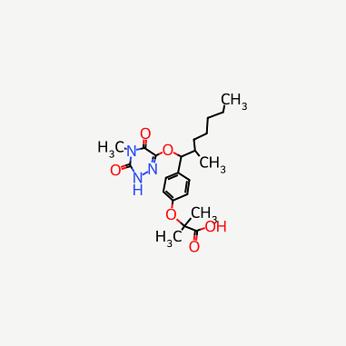 CCCCCC(C)C(Oc1n[nH]c(=O)n(C)c1=O)c1ccc(OC(C)(C)C(=O)O)cc1